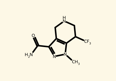 Cn1nc(C(N)=O)c2c1C(C(F)(F)F)CNC2